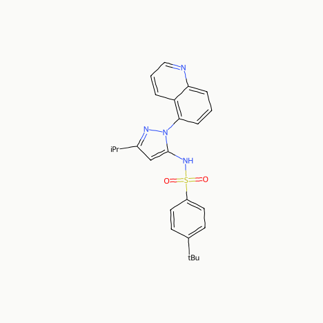 CC(C)c1cc(NS(=O)(=O)c2ccc(C(C)(C)C)cc2)n(-c2cccc3ncccc23)n1